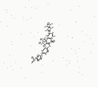 CC1(C)C(=O)N(Cc2ccc(-c3nnc(C(F)F)o3)cn2)C(=O)c2ccc(N3CC4(COC4)C3)cc21